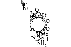 CC[C@H]1OC(=O)[C@H](C)C(=O)[C@H](C)[C@@H](O[C@@H]2OC(C)CC(N)C2O)[C@](C)(OC)C[C@@H](C)CCN[C@H](C)[C@H]2N(CCCCN=[N+]=[N-])C(=O)O[C@]12C